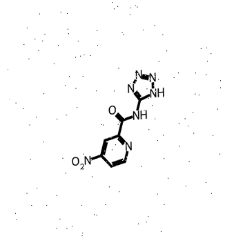 O=C(Nc1nnn[nH]1)c1cc([N+](=O)[O-])ccn1